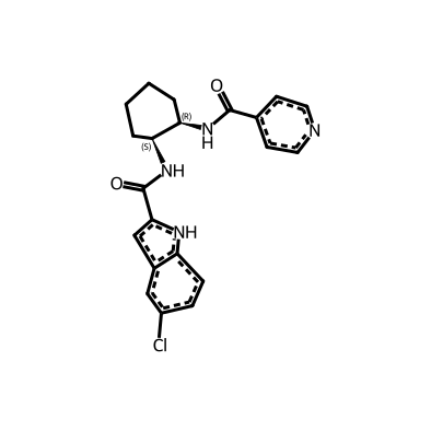 O=C(N[C@@H]1CCCC[C@@H]1NC(=O)c1cc2cc(Cl)ccc2[nH]1)c1ccncc1